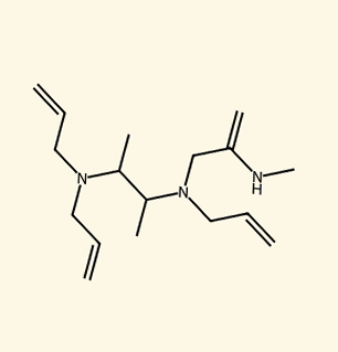 C=CCN(CC=C)C(C)C(C)N(CC=C)CC(=C)NC